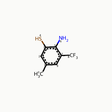 Cc1cc(S)c(N)c(C(F)(F)F)c1